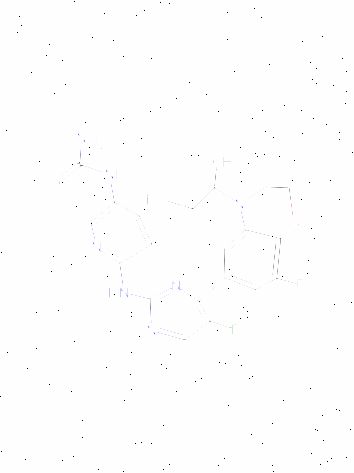 CCC(C)N1CCOc2c(F)cc(-c3nc(Nc4ccc(NC(N)=O)cn4)ncc3F)cc21